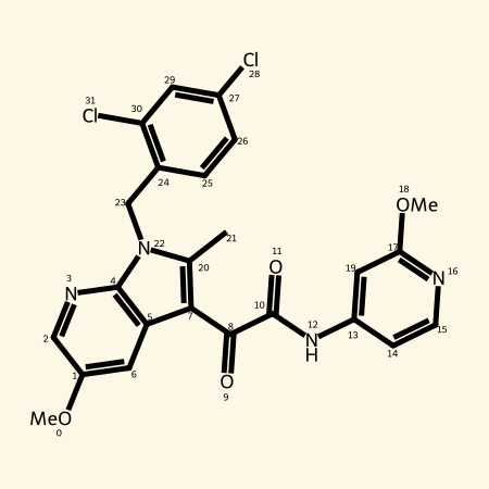 COc1cnc2c(c1)c(C(=O)C(=O)Nc1ccnc(OC)c1)c(C)n2Cc1ccc(Cl)cc1Cl